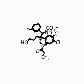 CN(C[C@](CCCO)(c1ccc(Cl)c(Cl)c1)C(NC(=O)O)c1cccc(F)c1)C(=O)CC(F)(F)F